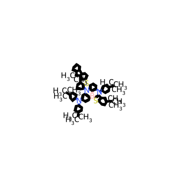 CC(C)(C)c1ccc(N(c2ccc(C(C)(C)C)cc2)c2ccc3c(c2)N(c2cccc4c2sc2ccc5c(c24)C(C)(C)c2ccccc2-5)c2cccc4c2B3c2sc3ccc(C(C)(C)C)cc3c2N4c2ccc(C(C)(C)C)cc2)cc1